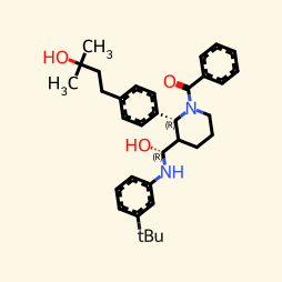 CC(C)(O)CCc1ccc([C@H]2C([C@@H](O)Nc3cccc(C(C)(C)C)c3)CCCN2C(=O)c2ccccc2)cc1